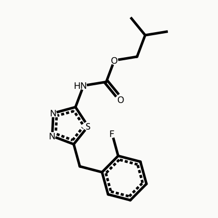 CC(C)COC(=O)Nc1nnc(Cc2ccccc2F)s1